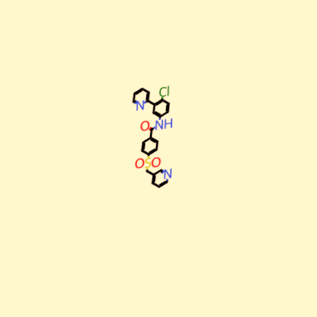 O=C(Nc1ccc(Cl)c(-c2ccccn2)c1)c1ccc(S(=O)(=O)Cc2cccnc2)cc1